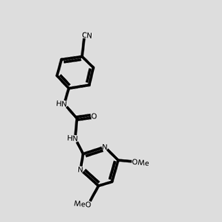 COc1cc(OC)nc(NC(=O)Nc2ccc(C#N)cc2)n1